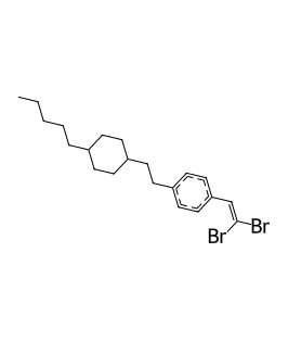 CCCCCC1CCC(CCc2ccc(C=C(Br)Br)cc2)CC1